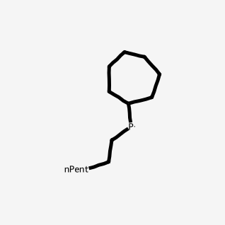 CCCCCCC[P]C1CCCCCC1